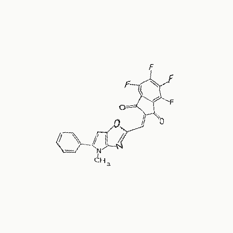 Cn1c(-c2ccccc2)cc2oc(C=C3C(=O)c4c(F)c(F)c(F)c(F)c4C3=O)nc21